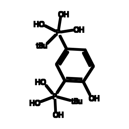 CC(C)(C)P(O)(O)(O)c1ccc(O)c(P(O)(O)(O)C(C)(C)C)c1